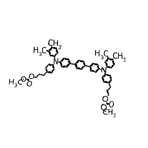 COC(=O)OCCCc1ccc(N(c2ccc(-c3ccc(-c4ccc(N(c5ccc(CCCOC(=O)OC)cc5)c5ccc(C)c(C)c5)cc4)cc3)cc2)c2ccc(C)c(C)c2)cc1